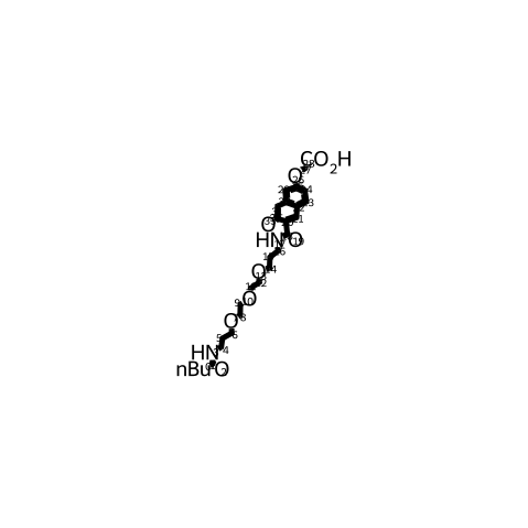 CCCCC(=O)NCCCOCCOCCOCCCNC(=O)C1=Cc2ccc(OCC(=O)O)cc2CC1=O